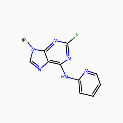 CC(C)n1cnc2c(Nc3ccccn3)nc(F)nc21